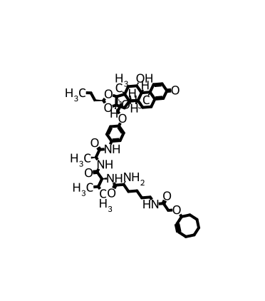 CCC[C@@H]1O[C@@H]2C[C@H]3[C@@H]4CCC5=CC(=O)C=C[C@]5(C)[C@H]4[C@@H](O)C[C@]3(C)[C@]2(C(=O)COc2ccc(NC(=O)[C@H](C)NC(=O)[C@@H](NC(=O)[C@H](N)CCCCNC(=O)COC3C#CCCCCC3)C(C)C)cc2)O1